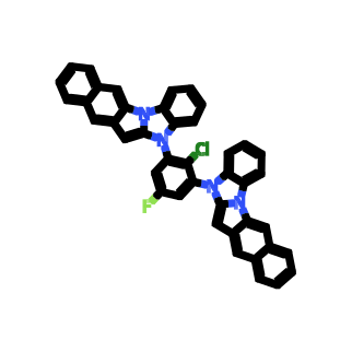 Fc1cc(-n2c3ccccc3n3c4cc5ccccc5cc4cc23)c(Cl)c(-n2c3ccccc3n3c4cc5ccccc5cc4cc23)c1